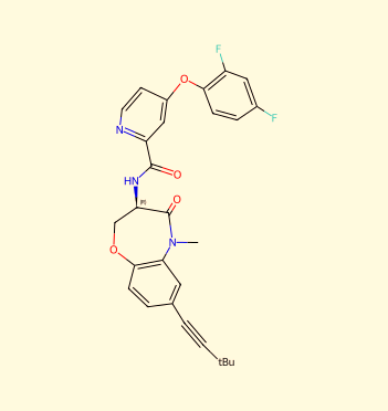 CN1C(=O)[C@H](NC(=O)c2cc(Oc3ccc(F)cc3F)ccn2)COc2ccc(C#CC(C)(C)C)cc21